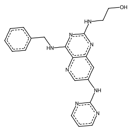 OCCNc1nc(NCc2ccccc2)c2ncc(Nc3ncccn3)cc2n1